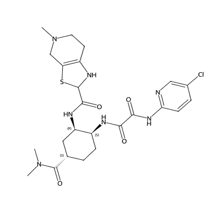 CN1CCC2=C(C1)SC(C(=O)N[C@@H]1C[C@@H](C(=O)N(C)C)CC[C@@H]1NC(=O)C(=O)Nc1ccc(Cl)cn1)N2